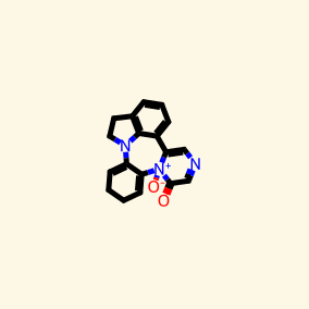 O=C1C=NC=C2c3cccc4c3N(CC4)C3=CCCC=C3[N+]12[O-]